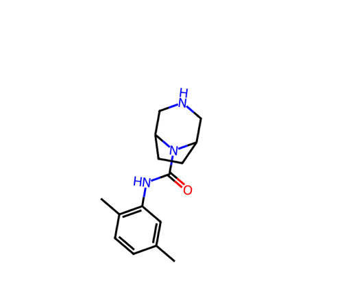 Cc1ccc(C)c(NC(=O)N2C3CCC2CNC3)c1